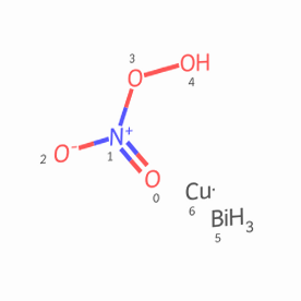 O=[N+]([O-])OO.[BiH3].[Cu]